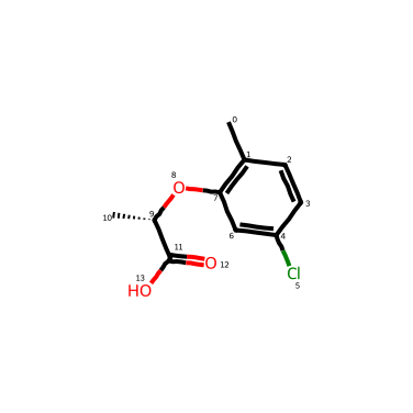 Cc1ccc(Cl)cc1O[C@@H](C)C(=O)O